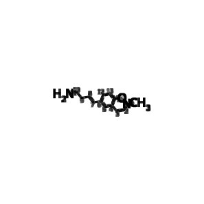 CN1C=Cc2cc(/C=C/CCN)ccc2O1